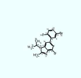 Cc1nc2c(F)cc(-c3cc(Br)ncc3F)cc2n1C(C)C